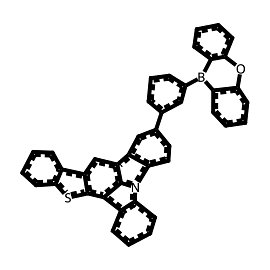 c1cc(B2c3ccccc3Oc3ccccc32)cc(-c2ccc3c(c2)c2cc4c5ccccc5sc4c4c5ccccc5n3c24)c1